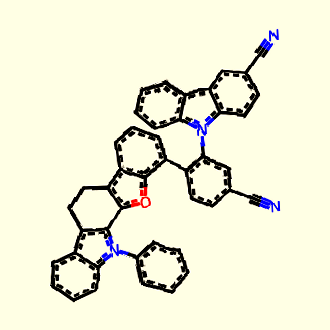 N#Cc1ccc(-c2cccc3c4c(oc23)-c2c(c3ccccc3n2-c2ccccc2)CC4)c(-n2c3ccccc3c3cc(C#N)ccc32)c1